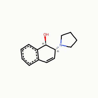 O[C@@H]1c2ccccc2C=C[C@H]1N1CCCC1